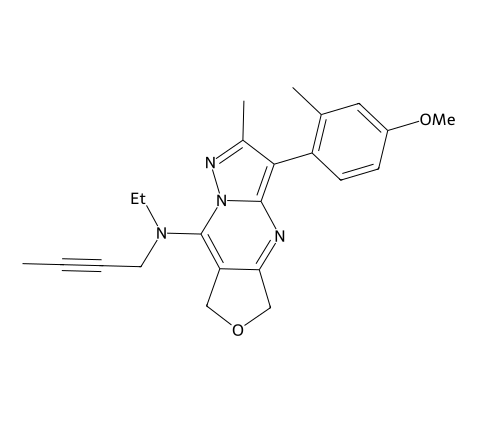 CC#CCN(CC)c1c2c(nc3c(-c4ccc(OC)cc4C)c(C)nn13)COC2